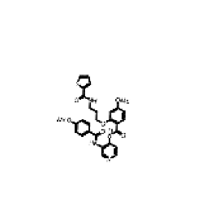 COc1ccc(C(=O)Nc2cnccc2NC(=O)c2ccc(OC)cc2OCCCNC(=O)c2cccs2)cc1